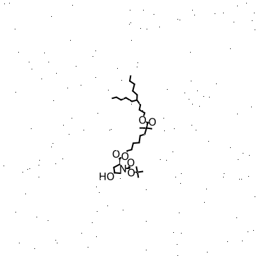 CCCCCC(CCCCC)CCCOC(=O)C(C)(C)CCCCCCOC(=O)[C@@H]1C[C@H](O)CN1C(=O)OC(C)(C)C